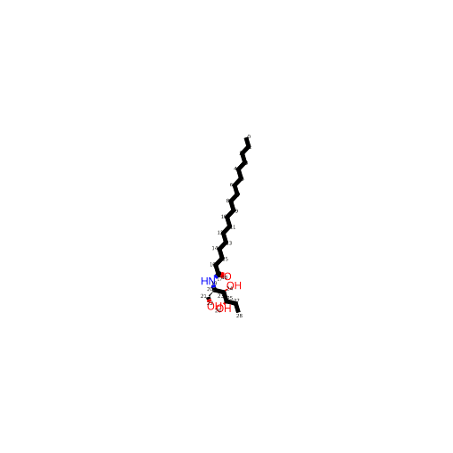 CCCCCCCCCCCCCCCCCC(=O)N[C@@H](CO)[C@H](O)[C@H](O)CC